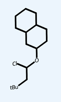 CC(C)(C)CC(Cl)OC1CCC2CCCCC2C1